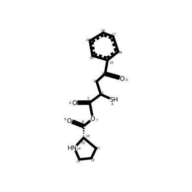 O=C(CC(S)C(=O)OC(=O)[C@@H]1CCCN1)c1ccccc1